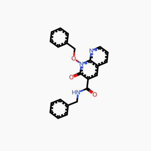 O=C(NCc1ccccc1)c1cc2cccnc2n(OCc2ccccc2)c1=O